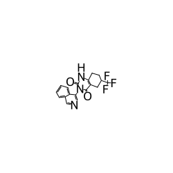 O=c1[nH]c2c(c(=O)n1-c1cncc3ccccc13)CC(C(F)(F)F)CC2